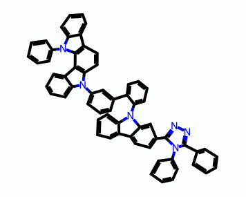 c1ccc(-c2nnc(-c3ccc4c5ccccc5n(-c5ccccc5-c5cccc(-n6c7ccccc7c7c6ccc6c8ccccc8n(-c8ccccc8)c67)c5)c4c3)n2-c2ccccc2)cc1